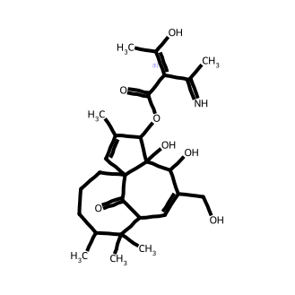 CC(=N)/C(C(=O)OC1C(C)=CC23CCCC(C)C(C)(C)C(C=C(CO)C(O)C12O)C3=O)=C(/C)O